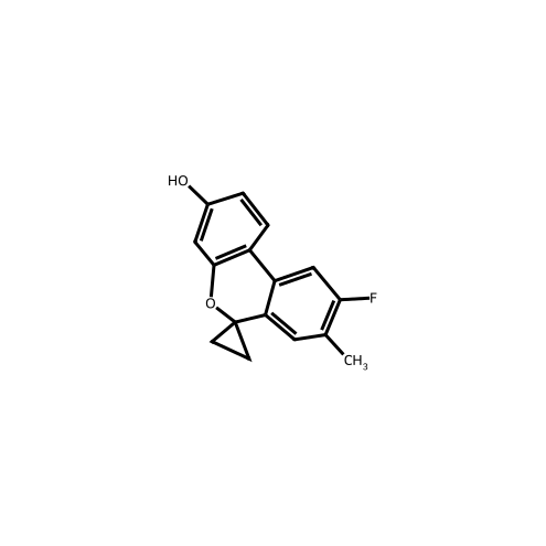 Cc1cc2c(cc1F)-c1ccc(O)cc1OC21CC1